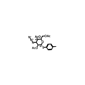 CC(=O)OCC1O[C@H](Sc2ccc(C)cc2)C(OC(C)=O)C(N=[N+]=[N-])[C@H]1OC(C)=O